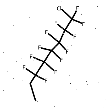 [CH2]CC(F)(F)C(F)(F)C(F)(F)C(F)(F)C(F)(F)C(F)(F)Cl